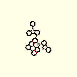 c1ccc(-c2cccc3cccc(-c4ccccc4N(c4cccc(-c5cccc6c5c5ccccc5n6-c5ccccc5)c4)c4cccc5c4sc4ccccc45)c23)cc1